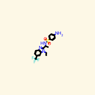 CCn1c(C(C)NS(=O)(=O)c2ccc(N)cc2)nc2ccc(C(F)(F)F)cc21